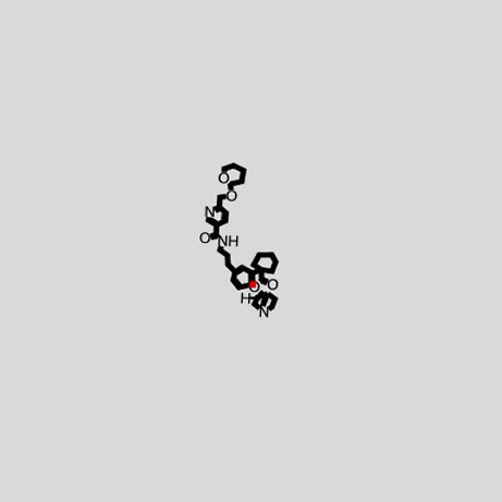 O=C(NCCCc1cccc(C2(C(=O)O[C@H]3CN4CCC3CC4)CCCCC2)c1)c1ccc(COC2CCCCO2)nc1